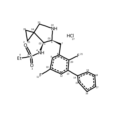 CCS(=O)(=O)N[C@@H]1[C@H](Cc2cc(F)cc(-c3ccccc3)c2F)NCC12CC2.Cl